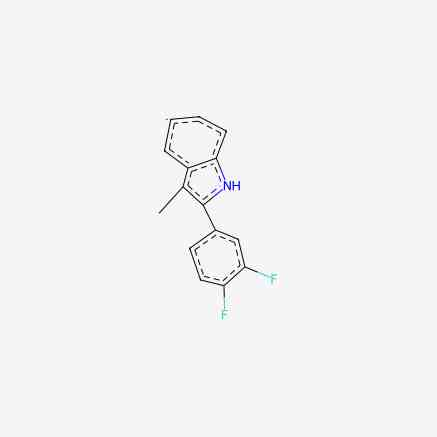 Cc1c(-c2ccc(F)c(F)c2)[nH]c2cc[c]cc12